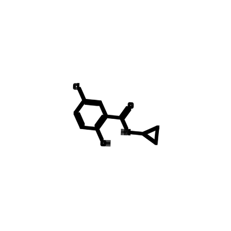 O=C(NC1CC1)c1cc(Cl)ccc1O